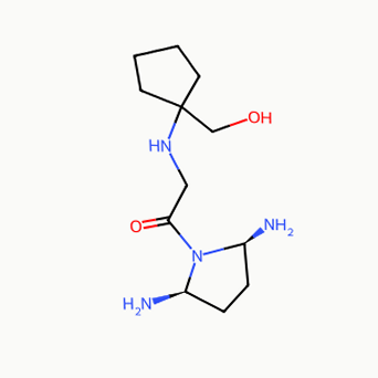 N[C@@H]1CC[C@H](N)N1C(=O)CNC1(CO)CCCC1